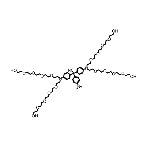 CN(C)c1ccc(C(C#N)(c2ccc(N(CCOCCOCCOCCOCCO)CCOCCOCCOCCOCCO)cc2)c2ccc(N(CCOCCOCCOCCOCCO)CCOCCOCCOCCOCCO)cc2)cc1